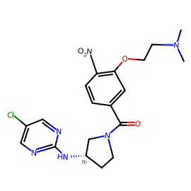 CN(C)CCOc1cc(C(=O)N2CC[C@H](Nc3ncc(Cl)cn3)C2)ccc1[N+](=O)[O-]